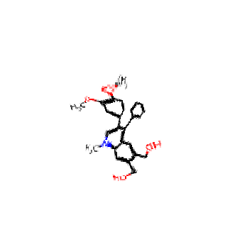 COc1ccc(-c2c[n+](C)c3cc(CO)c(CO)cc3c2-c2ccccc2)cc1OC